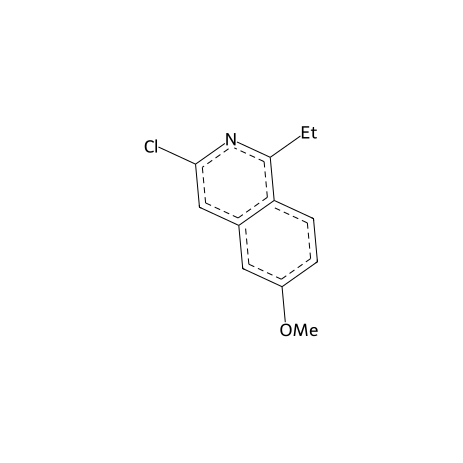 CCc1nc(Cl)cc2cc(OC)ccc12